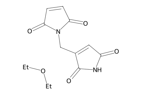 CCOCC.O=C1C=C(CN2C(=O)C=CC2=O)C(=O)N1